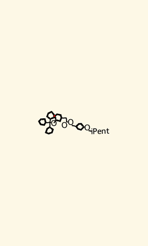 CCCC(C)COc1ccc(COC(=O)Cc2cccc(OC(c3ccccc3)(c3ccccc3)c3ccccc3)c2)cc1